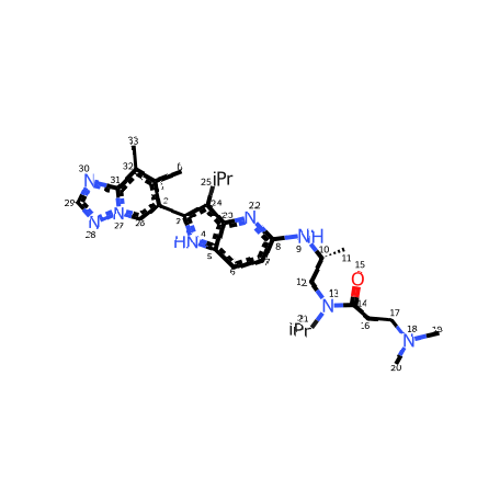 Cc1c(-c2[nH]c3ccc(N[C@H](C)CN(C(=O)CCN(C)C)C(C)C)nc3c2C(C)C)cn2ncnc2c1C